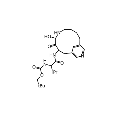 CC(C)C(NC(=O)OCC(C)(C)C)C(=O)NC1Cc2cncc(c2)CCCCNC(O)C1=O